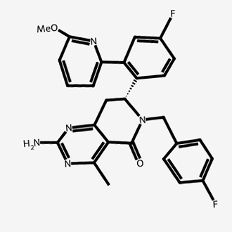 COc1cccc(-c2cc(F)ccc2[C@H]2Cc3nc(N)nc(C)c3C(=O)N2Cc2ccc(F)cc2)n1